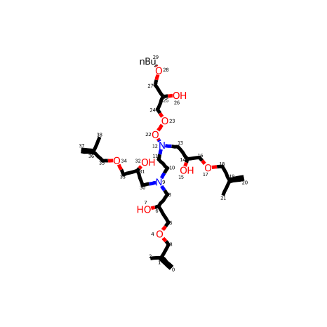 C=C(C)COCC(O)CN(CCN(CC(O)COCC(=C)C)OOCC(O)COCCCC)CC(O)COCC(=C)C